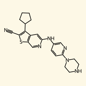 N#Cc1sc2cnc(Nc3ccc(N4CCNCC4)nc3)cc2c1C1CCCC1